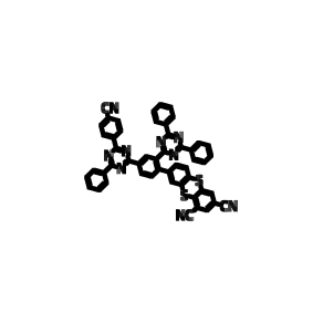 N#Cc1ccc(-c2nc(-c3ccccc3)nc(-c3ccc(-c4ccc5c(c4)Sc4c(C#N)cc(C#N)cc4S5)c(-c4nc(-c5ccccc5)nc(-c5ccccc5)n4)c3)n2)cc1